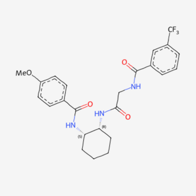 COc1ccc(C(=O)N[C@H]2CCCC[C@H]2NC(=O)CNC(=O)c2cccc(C(F)(F)F)c2)cc1